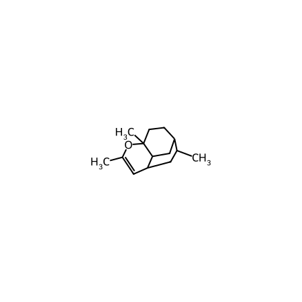 CC1=CC2CC(C)C3CCC(C)(O1)C2C3